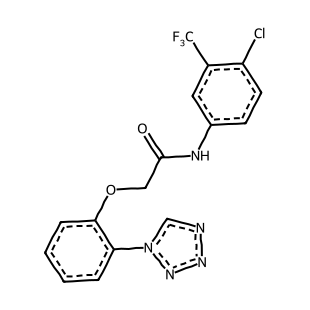 O=C(COc1ccccc1-n1cnnn1)Nc1ccc(Cl)c(C(F)(F)F)c1